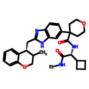 CCNC(=O)[C@H](NC(=O)C1(c2ccc3nc(C[C@H]4c5ccccc5OCC4C)[nH]c3c2)CCOCC1)C1CCC1